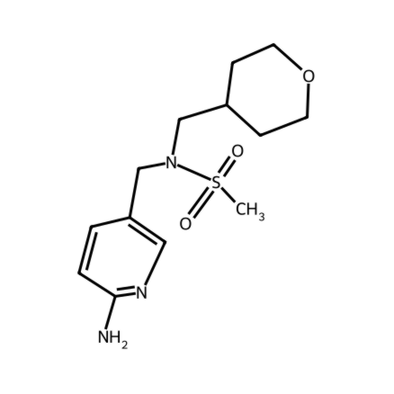 CS(=O)(=O)N(Cc1ccc(N)nc1)CC1CCOCC1